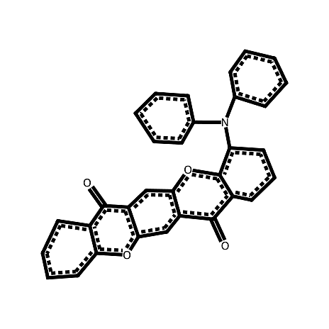 O=c1c2ccccc2oc2cc3c(=O)c4cccc(N(c5ccccc5)c5ccccc5)c4oc3cc12